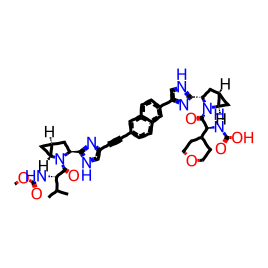 COC(=O)N[C@H](C(=O)N1[C@@H]2C[C@H]2C[C@H]1c1nc(C#Cc2ccc3cc(-c4c[nH]c([C@@H]5C[C@H]6C[C@H]6N5C(=O)[C@@H](NC(=O)O)C5CCOCC5)n4)ccc3c2)c[nH]1)C(C)C